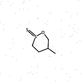 CC1CCS(=S)OC1